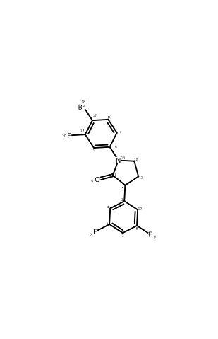 O=C1C(c2cc(F)cc(F)c2)CCN1c1ccc(Br)c(F)c1